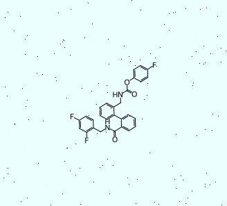 O=C(NCc1ccccc1-c1ccccc1C(=O)NCc1ccc(F)cc1F)Oc1ccc(F)cc1